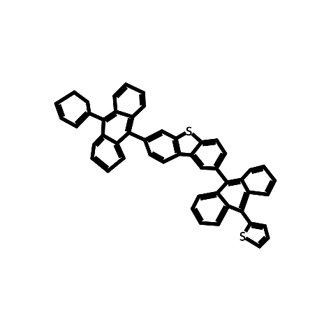 C1=CCCC(c2c3ccccc3c(-c3ccc4c(c3)sc3ccc(-c5c6ccccc6c(-c6cccs6)c6ccccc56)cc34)c3ccccc23)=C1